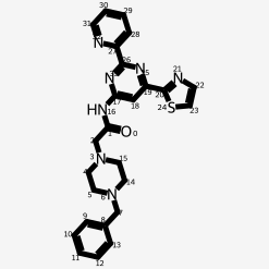 O=C(CN1CCN(Cc2ccccc2)CC1)Nc1cc(-c2nccs2)nc(-c2ccccn2)n1